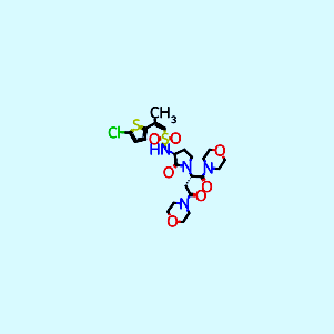 C/C(=C/S(=O)(=O)N[C@H]1CCN([C@@H](CC(=O)N2CCOCC2)C(=O)N2CCOCC2)C1=O)c1ccc(Cl)s1